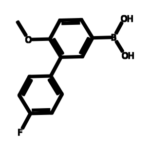 COc1ccc(B(O)O)cc1-c1ccc(F)cc1